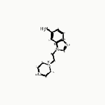 Nc1ccc2ncn(CCN3CCOCC3)c2c1